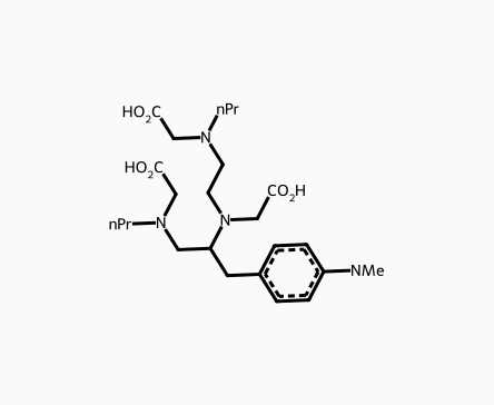 CCCN(CCN(CC(=O)O)C(Cc1ccc(NC)cc1)CN(CCC)CC(=O)O)CC(=O)O